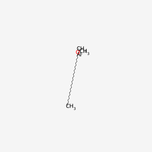 CCCCCCCCCCCCCCCCCCCCCCCCCCC[CH2][Al][O]C(C)C